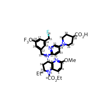 CCOC(=O)N1c2ccc(OC)nc2[C@@H](N(Cc2cc(CF)cc(C(F)(F)F)c2)c2ccc(N3CCC(C(=O)O)CC3)cn2)C[C@H]1CC